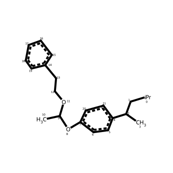 CC(C)CC(C)c1ccc(OC(C)OCCc2ccccc2)cc1